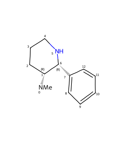 CN[C@@H]1CCCN[C@@H]1c1ccccc1